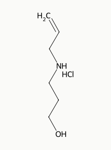 C=CCNCCCO.Cl